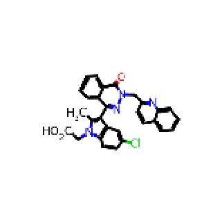 Cc1c(-c2nn(Cc3ccc4ccccc4n3)c(=O)c3ccccc23)c2cc(Cl)ccc2n1CC(=O)O